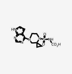 O=C(O)NS(=O)(=O)N1CCN(c2ncnc3[nH]ccc23)CC12CC2